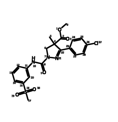 COC(=O)C1(C)CN(C(=O)Nc2cccc(S(C)(=O)=O)c2)N=C1c1ccc(Cl)cc1